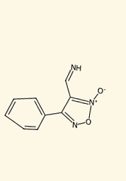 N=Cc1c(-c2ccccc2)no[n+]1[O-]